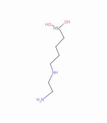 NCCNCCCC[SiH](O)O